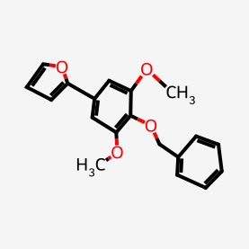 COc1cc(-c2ccco2)cc(OC)c1OCc1ccccc1